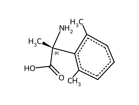 Cc1cccc(C)c1[C@@](C)(N)C(=O)O